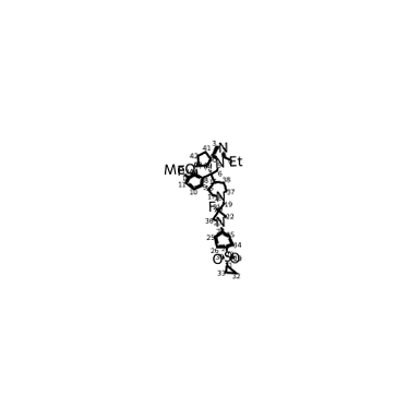 CCc1nccn1CC(c1cccc(F)c1)(C1CCN(CC2(F)CN(c3ccc(S(=O)(=O)C4CC4)cc3)C2)CC1)[C@H]1CCC[C@@H]1OC